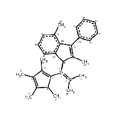 CC1=C(C)C(C)[C]([Zr]([CH]2C(C)=C(c3ccccc3)c3c(C)cccc32)=[Si](C)C)=C1C